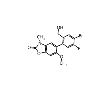 COc1cc2oc(=O)n(C)c2cc1-c1cc(F)c(Br)cc1CO